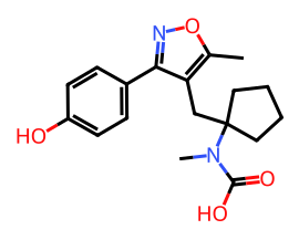 Cc1onc(-c2ccc(O)cc2)c1CC1(N(C)C(=O)O)CCCC1